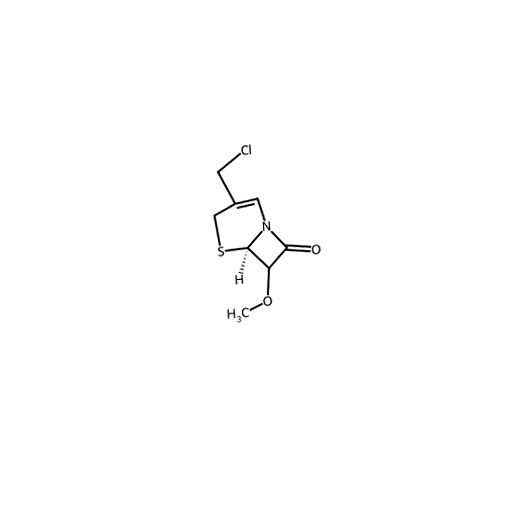 COC1C(=O)N2C=C(CCl)CS[C@H]12